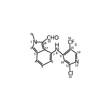 Cn1cc2cccc(Nc3cc(Cl)ncc3C(F)(F)F)c2c1C=O